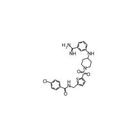 N=C(N)c1cccc(NC2CCN(S(=O)(=O)c3ccc(CNC(=O)c4ccc(Cl)cc4)s3)CC2)c1